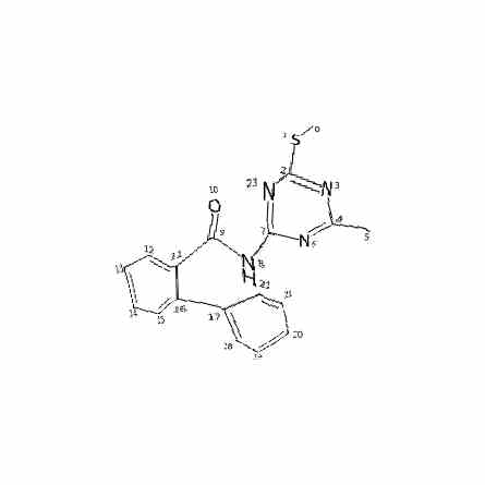 CSc1nc(C)nc(NC(=O)c2ccccc2-c2ccccc2)n1